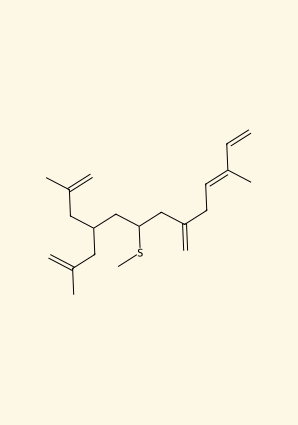 C=C/C(C)=C/CC(=C)CC(CC(CC(=C)C)CC(=C)C)SC